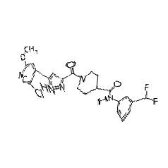 COc1cc(-c2cc(C(=O)N3CCC(C(=O)Nc4cccc(C(F)F)c4)CC3)n[nH]2)c(Cl)cn1